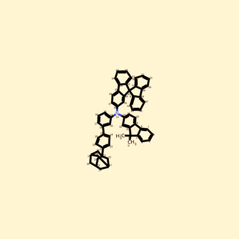 CC1(C)c2ccccc2-c2ccc(N(c3cccc(-c4ccc(C56CC7CC(CC(C7)C5)C6)cc4)c3)c3ccc4c(c3)C3(c5ccccc5-c5ccccc53)c3ccccc3-4)cc21